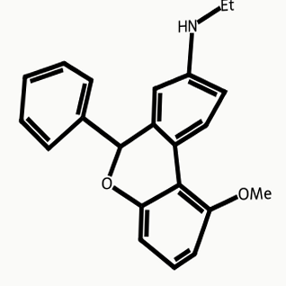 CCNc1ccc2c(c1)C(c1ccccc1)Oc1cccc(OC)c1-2